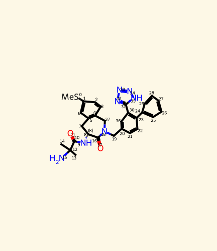 CSc1ccc2c(c1)C[C@@H](NC(=O)C(C)(C)N)C(=O)N(Cc1ccc(-c3ccccc3)c(-c3nnn[nH]3)c1)C2